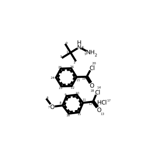 CC(C)(C)NN.COc1ccc(C(=O)Cl)cc1.Cl.O=C(Cl)c1ccccc1